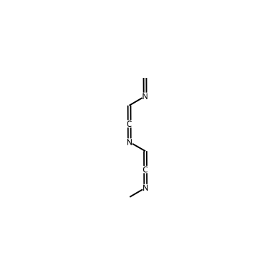 C=NC=C=NC=C=NC